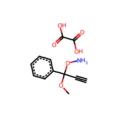 C#CC(OC)(ON)c1ccccc1.O=C(O)C(=O)O